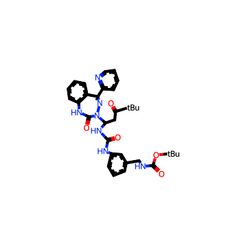 CC(C)(C)OC(=O)NCc1cccc(NC(=O)NC(CC(=O)C(C)(C)C)N2N=C(c3ccccn3)c3ccccc3NC2=O)c1